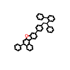 c1ccc(-c2ccccc2C(Cc2ccc(-c3ccc4c(c3)oc3cc(-c5ccccc5)c5ccccc5c34)cc2)c2ccccc2)cc1